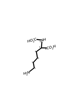 NCCCCC(NC(=O)O)C(=O)O